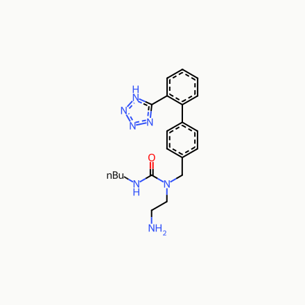 CCCCNC(=O)N(CCN)Cc1ccc(-c2ccccc2-c2nnn[nH]2)cc1